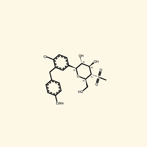 COc1ccc(Cc2cc([C@@H]3O[C@H](CO)[C@@H](S(C)(=O)=O)[C@H](O)[C@H]3O)ccc2Cl)cc1